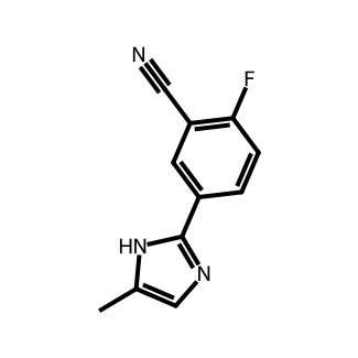 Cc1cnc(-c2ccc(F)c(C#N)c2)[nH]1